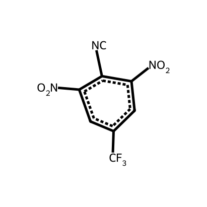 [C-]#[N+]c1c([N+](=O)[O-])cc(C(F)(F)F)cc1[N+](=O)[O-]